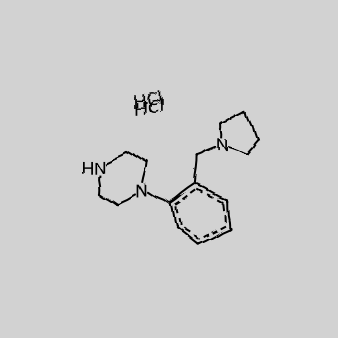 Cl.Cl.c1ccc(N2CCNCC2)c(CN2CCCC2)c1